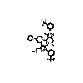 COCc1nn(-c2cccc(C(F)(F)F)c2)c(C)c1C(=O)N1CCC(N2CCCC2)CC1c1c(COC)nn(-c2cccc(C(F)(F)F)c2)c1C